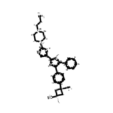 C[C@]1(O)C[C@](N)(c2ccc(-c3nc(-c4cnc(N5CCN(CCN)CC5)s4)sc3-c3ccccc3)cc2)C1